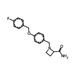 NC(=O)C1CCN1Cc1ccc(OCc2ccc(F)cc2)cc1